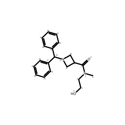 CN(CCO)C(=O)C1CN(C(c2ccccc2)c2ccccc2)C1